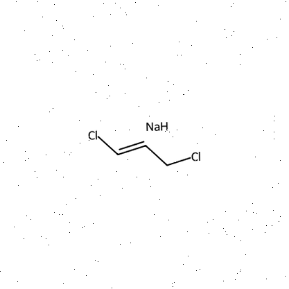 ClC=CCCl.[NaH]